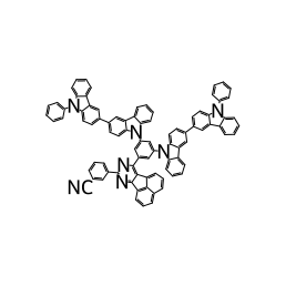 N#Cc1cccc(-c2nc(-c3cc(-n4c5ccccc5c5cc(-c6ccc7c(c6)c6ccccc6n7-c6ccccc6)ccc54)cc(-n4c5ccccc5c5cc(-c6ccc7c(c6)c6ccccc6n7-c6ccccc6)ccc54)c3)c3c(n2)-c2cccc4cccc-3c24)c1